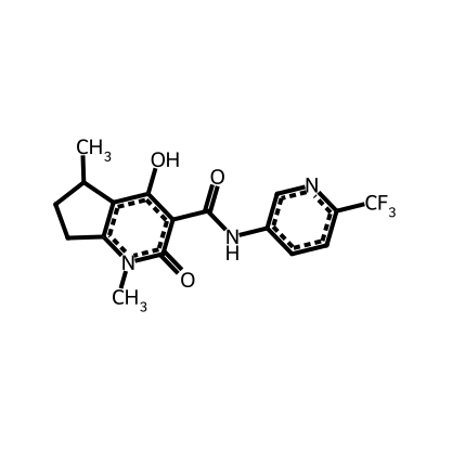 CC1CCc2c1c(O)c(C(=O)Nc1ccc(C(F)(F)F)nc1)c(=O)n2C